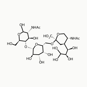 CC(=O)N[C@H]1CO[C@@](OC[C@H]2O[C@@H](O[C@H]3[C@H](O)[C@@H](NC(C)=O)C(O)O[C@@H]3CO)[C@H](O)[C@@H](O)[C@H]2O)(C(=O)O)C[C@@H]1[C@@H](O)[C@@H](O)C(O)O